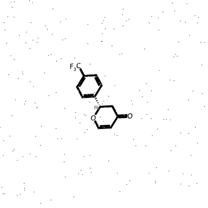 O=C1C=CO[C@H](c2ccc(C(F)(F)F)cc2)C1